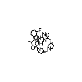 CC(C)c1nn(-c2noc(C[C@@H]3CCN(C[C@H]4CCN(C(=O)O)C4)C3)n2)c2c(F)cccc12